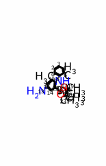 Cc1cccc(C)c1Nc1ccc(N)cc1B1OC(C)(C)C(C)(C)O1